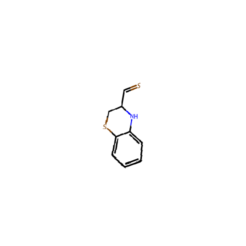 S=CC1CSc2ccccc2N1